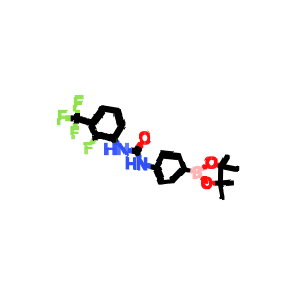 CC1(C)OB(c2ccc(NC(=O)Nc3cccc(C(F)(F)F)c3F)cc2)OC1(C)C